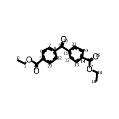 CCOC(=O)c1ccc(C(=O)c2ccc(C(=O)OCC)cc2)cc1